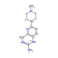 Cc1nc(N2CCN(C)CC2)ccc1NC(=N)N